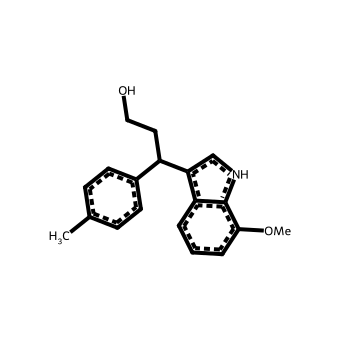 COc1cccc2c(C(CCO)c3ccc(C)cc3)c[nH]c12